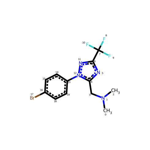 CN(C)Cc1nc(C(F)(F)F)nn1-c1ccc(Br)cc1